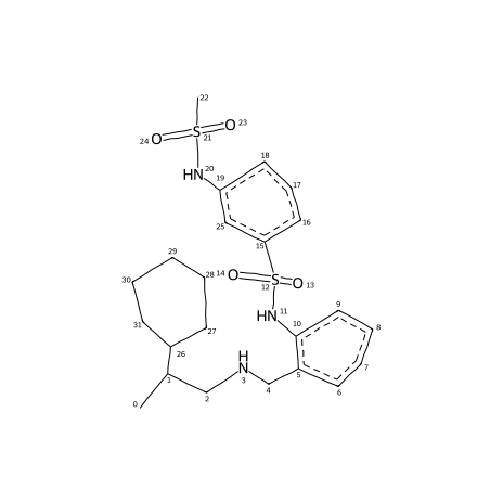 CC(CNCc1ccccc1NS(=O)(=O)c1cccc(NS(C)(=O)=O)c1)C1CCCCC1